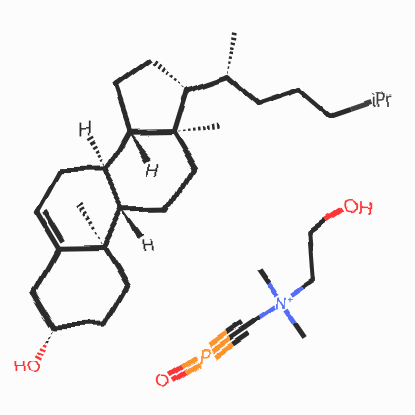 CC(C)CCC[C@@H](C)[C@H]1CC[C@H]2[C@@H]3CC=C4C[C@@H](O)CC[C@]4(C)[C@H]3CC[C@]12C.C[N+](C)(C#P=O)CCO